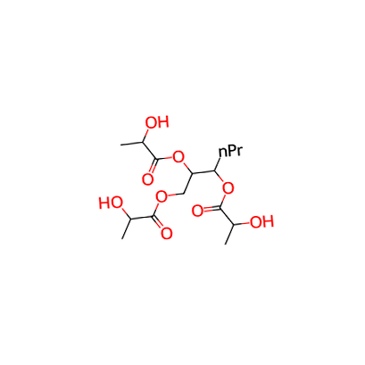 CCCC(OC(=O)C(C)O)C(COC(=O)C(C)O)OC(=O)C(C)O